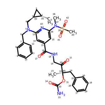 C[C@H]1C[C@@H]1CN(Cc1ccccc1)c1cc(C(=O)NCC(=O)[C@@](C)(Cc2ccccc2)OC(N)=O)cc(N(C)S(C)(=O)=O)n1